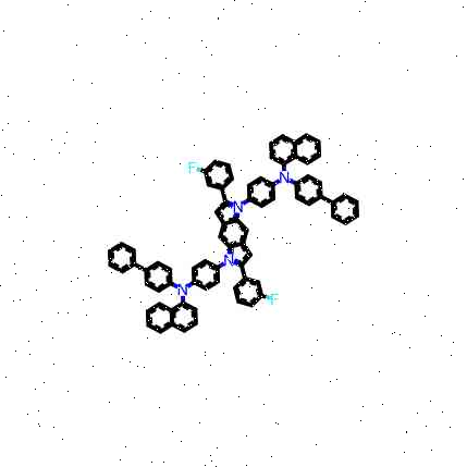 Fc1cccc(-c2cc3cc4c(cc(-c5cccc(F)c5)n4-c4ccc(N(c5ccc(-c6ccccc6)cc5)c5cccc6ccccc56)cc4)cc3n2-c2ccc(N(c3ccc(-c4ccccc4)cc3)c3cccc4ccccc34)cc2)c1